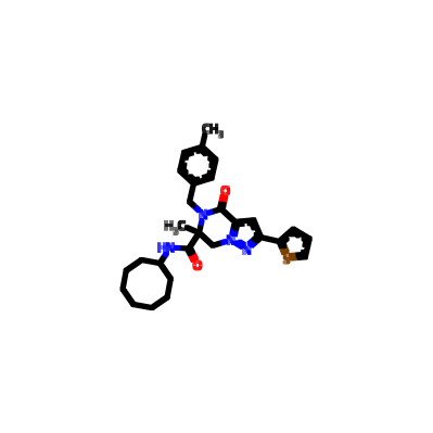 Cc1ccc(CN2C(=O)c3cc(-c4cccs4)nn3CC2(C)C(=O)NC2CCCCCCC2)cc1